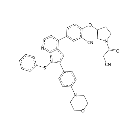 N#CCC(=O)N1CCC(Oc2ccc(-c3ccnc4c3cc(-c3ccc(N5CCOCC5)cc3)n4Sc3ccccc3)cc2C#N)C1